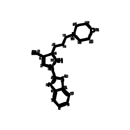 CCC1=CN(c2nc3ccccc3s2)NC1CCCN1CCOCC1